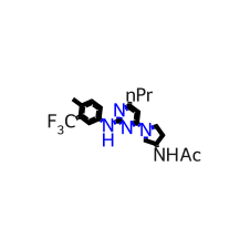 CCCc1cc(N2CCC(NC(C)=O)C2)nc(Nc2ccc(C)c(C(F)(F)F)c2)n1